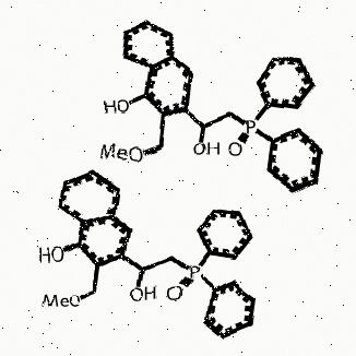 COCc1c(C(O)CP(=O)(c2ccccc2)c2ccccc2)cc2ccccc2c1O.COCc1c(C(O)CP(=O)(c2ccccc2)c2ccccc2)cc2ccccc2c1O